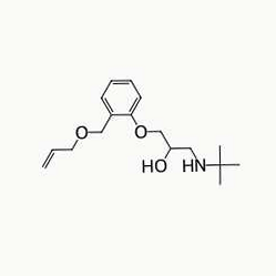 C=CCOCc1ccccc1OCC(O)CNC(C)(C)C